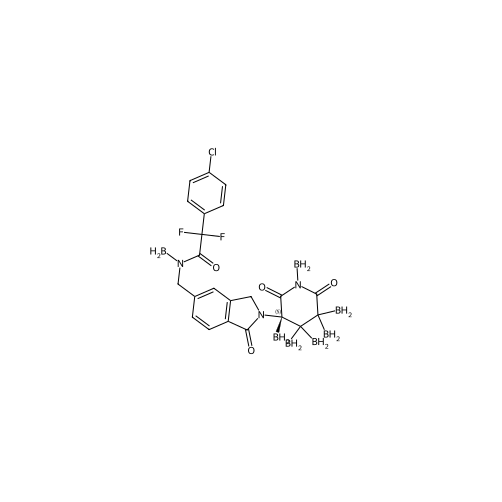 BN(Cc1ccc2c(c1)CN([C@]1(B)C(=O)N(B)C(=O)C(B)(B)C1(B)B)C2=O)C(=O)C(F)(F)c1ccc(Cl)cc1